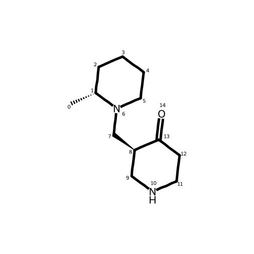 C[C@@H]1CCCCN1C[C@@H]1CNCCC1=O